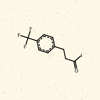 O=C(I)CCc1ccc(C(F)(F)F)cc1